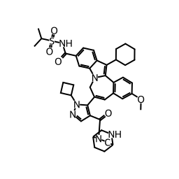 COc1ccc2c(c1)C=C(c1c(C(=O)N3CC4CCC3CN4)cnn1C1CCC1)Cn1c-2c(C2CCCCC2)c2ccc(C(=O)NS(=O)(=O)C(C)C)cc21